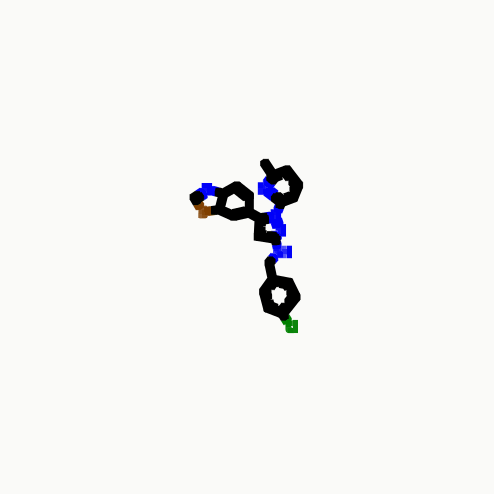 Cc1cccc(-n2nc(NCc3ccc(Cl)cc3)cc2C2=CC3SC=NC3C=C2)n1